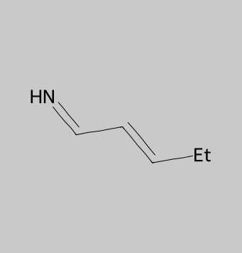 CCC=CC=N